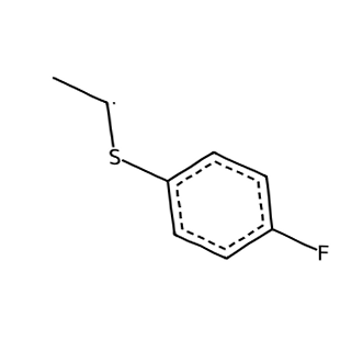 C[CH]Sc1ccc(F)cc1